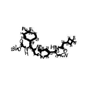 CC(C)(C)OC(=O)N[C@H](c1cn2ncc([C@H](CC#N)NC(=O)CC3CC(F)(F)C3)cc2n1)C1CCC(F)(F)CC1